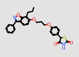 CCCc1c(OCCCOc2ccc(C3SC(=O)NC3=O)cc2)ccc2c(-c3ccccc3)noc12